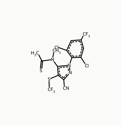 CC(=S)N(C)c1c(SC(F)(F)F)c(C#N)nn1-c1c(Cl)cc(C(F)(F)F)cc1Cl